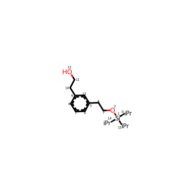 CC(C)[Si](OCCc1cccc(CCO)c1)(C(C)C)C(C)C